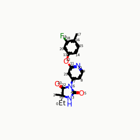 CC[C@@]1(C)NC(=O)N(c2ccnc(Oc3ccc(C)c(F)c3)c2)C1=O